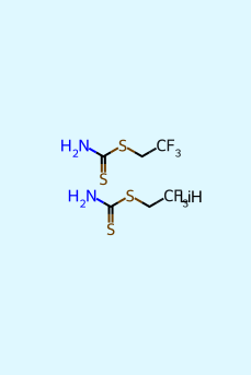 NC(=S)SCC(F)(F)F.NC(=S)SCC(F)(F)F.[LiH]